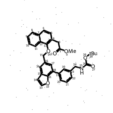 COC(=O)Cc1ccc2ccccc2c1OCc1cc(-c2cccc(CNC(=O)OC(C)(C)C)c2)c2occc2c1